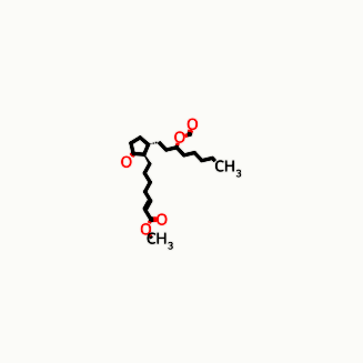 CCCCCC(CC[C@H]1CCC(=O)[C@@H]1CCCCC=CC(=O)OC)OC=O